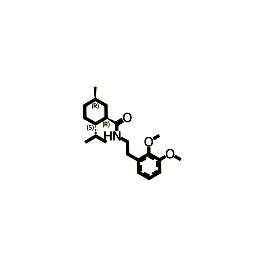 COc1cccc(CCNC(=O)[C@@H]2C[C@H](C)CC[C@H]2C(C)C)c1OC